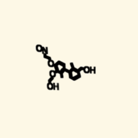 Cc1c(CO)cccc1-c1ccc(OCCN=O)c(OCCO)c1C